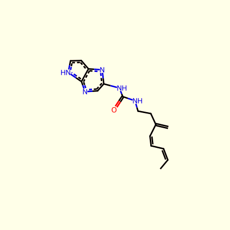 C=C(/C=C\C=C/C)CCNC(=O)Nc1cnc2[nH]ccc2n1